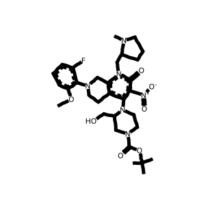 COc1cccc(F)c1N1CCc2c(N3CCN(C(=O)OC(C)(C)C)CC3CO)c([N+](=O)[O-])c(=O)n(CC3CCCN3C)c2C1